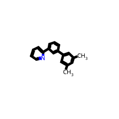 Cc1cc(C)cc(-c2cccc(-c3ccccn3)c2)c1